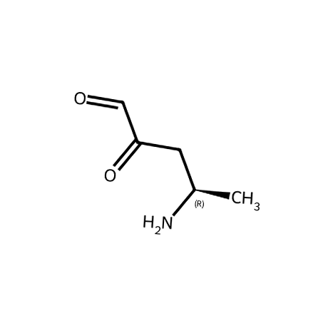 C[C@@H](N)CC(=O)C=O